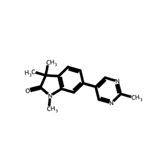 Cc1ncc(-c2ccc3c(c2)N(C)C(=O)C3(C)C)cn1